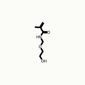 C=C(C)C(=O)NCOCCO